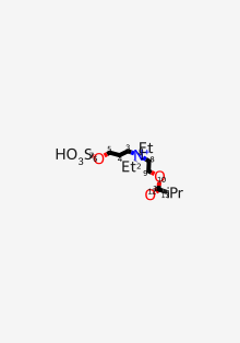 CC[N+](CC)(CCCOS(=O)(=O)O)CCOC(=O)C(C)C